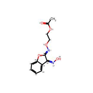 CC(=O)OCCON=C1Oc2ccccc2C1=NO